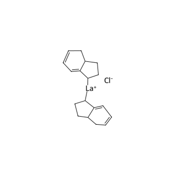 C1=CCC2CC[CH]([La+][CH]3CCC4CC=CC=C43)C2=C1.[Cl-]